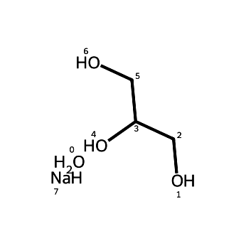 O.OCC(O)CO.[NaH]